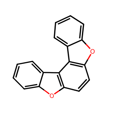 c1ccc2c(c1)oc1ccc3oc4ccccc4c3c12